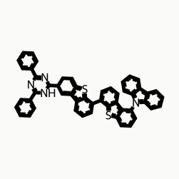 C1=c2sc3c(-c4cccc5c4sc4cccc(-n6c7ccccc7c7ccccc76)c45)cccc3c2=CC(C2N=C(c3ccccc3)N=C(c3ccccc3)N2)C1